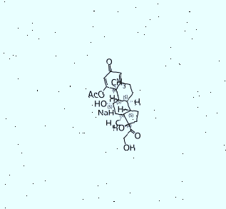 CC(=O)OC1=CC(=O)C=C2CC[C@@H]3[C@H]([C@@H](O)C[C@@]4(C)[C@H]3CC[C@]4(O)C(=O)CO)[C@]21C.[NaH]